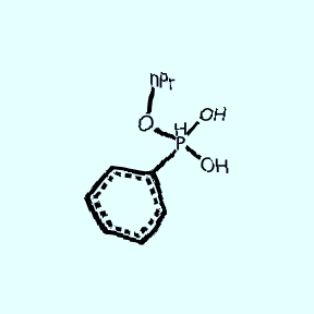 CCCO[PH](O)(O)c1ccccc1